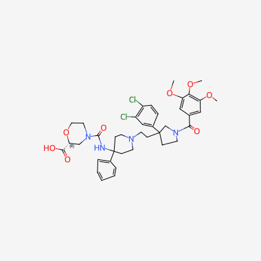 COc1cc(C(=O)N2CCC(CCN3CCC(NC(=O)N4CCO[C@@H](C(=O)O)C4)(c4ccccc4)CC3)(c3ccc(Cl)c(Cl)c3)C2)cc(OC)c1OC